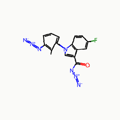 Cc1c(N=[N+]=[N-])cccc1-n1cc(C(=O)N=[N+]=[N-])c2cc(F)ccc21